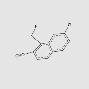 O=Cc1ccc2ccc(Cl)cc2c1CF